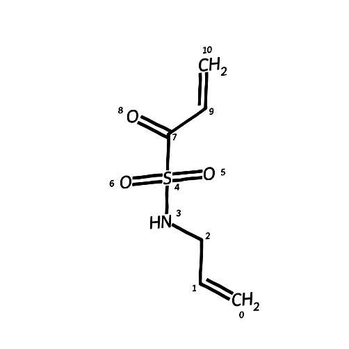 C=CCNS(=O)(=O)C(=O)C=C